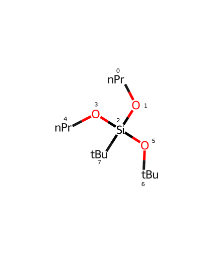 CCCO[Si](OCCC)(OC(C)(C)C)C(C)(C)C